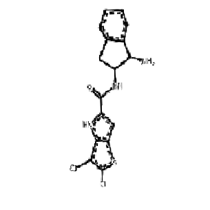 N[C@@H]1c2ccccc2C[C@@H]1NC(=O)c1cc2sc(Cl)c(Cl)c2[nH]1